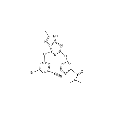 Cc1nc2c(Oc3cc(Br)cc(C#N)c3)nc(Oc3cccc(C(=O)N(C)C)c3)nc2[nH]1